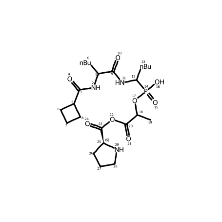 CCCCC(NC(=O)C1CCC1)C(=O)NC(CCCC)P(=O)(O)OC(C)C(=O)OC(=O)[C@@H]1CCCN1